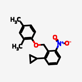 Cc1ccc(OCc2c(C3CC3)cccc2[N+](=O)[O-])c(C)c1